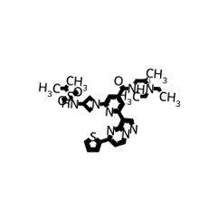 CCN(CC)[C@@H](C)CNC(=O)c1cc(-c2cnn3ccc(-c4cccs4)nc23)nc(N2CC(NS(=O)(=O)C(C)C)C2)c1